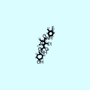 CCc1c(C(=O)Nc2ccc(F)c(C)c2)c(C)n(C)c1C(=O)C(=O)NC1(C)CCC(O)CC1